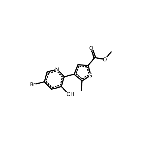 COC(=O)c1cc(-c2ncc(Br)cc2O)c(C)s1